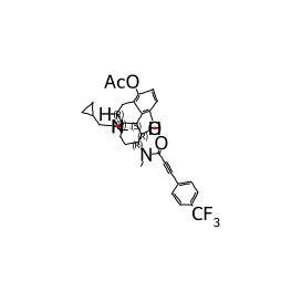 CC(=O)Oc1ccc2c3c1C[C@@H]1[C@@H]4CC[C@@H](N(C)C(=O)C#Cc5ccc(C(F)(F)F)cc5)[C@H](O2)[C@]34CCN1CC1CC1